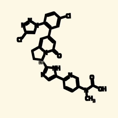 CN(C(=O)O)c1ccc(-c2cnc([C@@H]3CCc4cc(-c5cc(Cl)ccc5-n5cc(Cl)nn5)cc(=O)n43)[nH]2)nc1